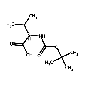 CC(C)[SH](NC(=O)OC(C)(C)C)C(=O)O